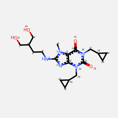 Cn1c(NCCC(CO)CO)nc2c1c(=O)n(CC1CC1)c(=O)n2CC1CC1